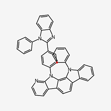 c1ccc(-n2c(-c3ccc(-n4c5ncccc5c5ccc6c7ccccc7n(-c7ccccc7)c6c54)cc3)nc3ccccc32)cc1